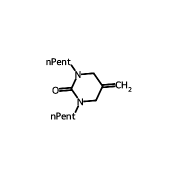 C=C1CN(CCCCC)C(=O)N(CCCCC)C1